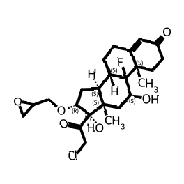 C[C@]12CCC(=O)C=C1CC[C@H]1[C@@H]3C[C@@H](OCC4CO4)[C@](O)(C(=O)CCl)[C@@]3(C)C[C@H](O)C12F